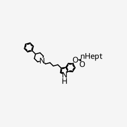 CCCCCCCC(=O)Oc1ccc2[nH]cc(CCCCN3CCC(c4ccccc4)CC3)c2c1